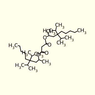 CCCCCC(CC(C)OC(=O)CC(=O)OC(C)CC(CCCCC)(C(C)C)C(C)C)(C(C)C)C(C)C